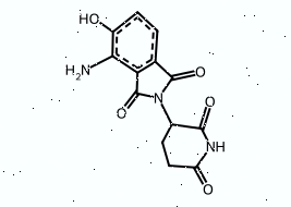 Nc1c(O)ccc2c1C(=O)N(C1CCC(=O)NC1=O)C2=O